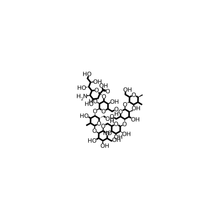 CC1C(O)[C@H](O[C@@H]2OC(CO)[C@H](O)C(O[C@]3(C(=O)O)C[C@@H](O)[C@@H](N)C([C@H](O)[C@H](O)CO)O3)[C@@H]2O)[C@H](CO)O[C@H]1O[C@@H]1C(O)[C@H](O)C(CO)O[C@@H]1OCC1O[C@@H](O[C@@H]2C(CO)O[C@@H](O[C@@H]3C(CO)O[C@@H](C)C(C)[C@H]3O)[C@@H](C)C2O)[C@H](O)C(O)[C@@H]1O